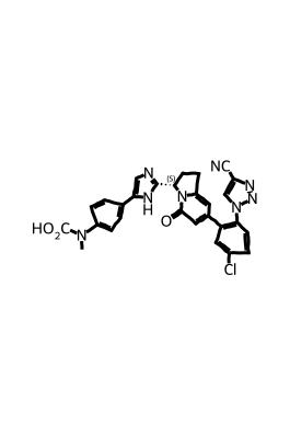 CN(C(=O)O)c1ccc(-c2cnc([C@@H]3CCc4cc(-c5cc(Cl)ccc5-n5cc(C#N)nn5)cc(=O)n43)[nH]2)cc1